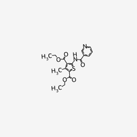 CCOC(=O)c1sc(NC(=O)c2cccnc2)c(C(=O)OCC)c1C